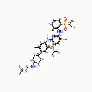 Cc1cc(Nc2ncc(C)c(Nc3ccccc3S(=O)(=O)C(C)C)n2)c(OC(C)C)cc1C1CCC(NCCN(C)C)CC1